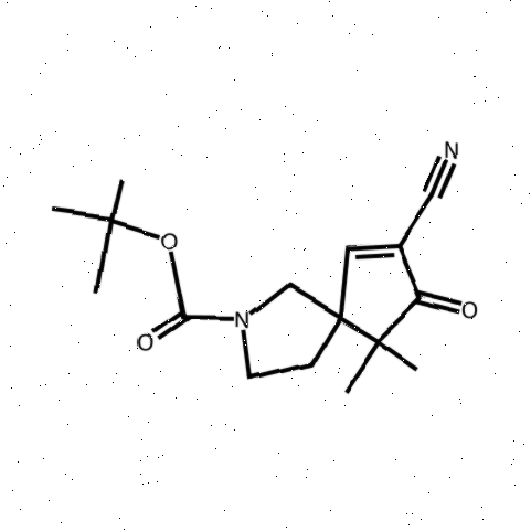 CC(C)(C)OC(=O)N1CCC2(C=C(C#N)C(=O)C2(C)C)C1